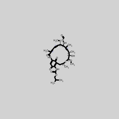 CO[C@H]1/C=C\C=C(/C)C(=O)NC2=CC(=O)C(NC(=O)OCC(C)C)=C(C[C@@H](C)C[C@H](OC)[C@H](O)[C@@H](C)/C=C(\C)[C@@H]1NOC=O)C2=O